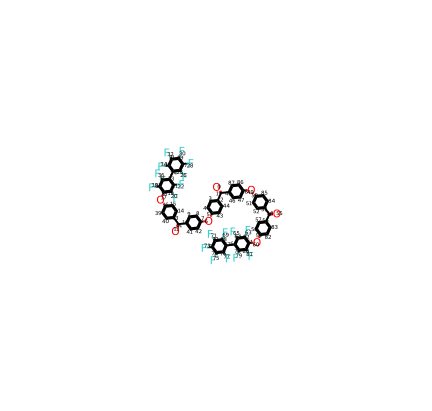 O=C(c1ccc(Oc2ccc(C(=O)c3ccc(Oc4c(F)c(F)c(-c5c(F)c(F)c(F)c(F)c5F)c(F)c4F)cc3)cc2)cc1)c1ccc(Oc2ccc(C(=O)c3ccc(Oc4c(F)c(F)c(-c5c(F)c(F)c(F)c(F)c5F)c(F)c4F)cc3)cc2)cc1